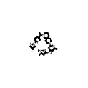 Cc1cc(Nc2cc(C)[nH]n2)nc(N2CCC3(CCCN(C(C)c4ccc(-n5cc(F)cn5)nc4)C3)CC2)n1